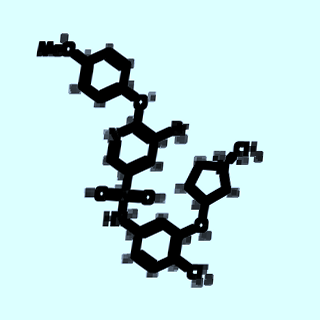 COc1ccc(Oc2ncc(S(=O)(=O)Nc3ccc(C(F)(F)F)c(OC4CCN(C)C4)c3)cc2Br)cc1